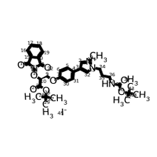 C[n+]1cc(-c2ccc(OC[C@H](ON3C(=O)c4ccccc4C3=O)C(=O)OC(C)(C)C)cc2)cn1CCCNC(=O)OC(C)(C)C.[I-]